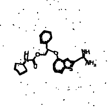 N=C(N)c1cc2c(OC(COC(=O)NC3CCCC3)c3ccccc3)cccc2s1